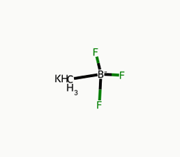 C[B-](F)(F)F.[KH]